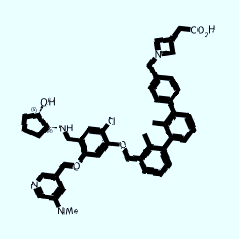 CNc1cncc(COc2cc(OCc3cccc(-c4cccc(-c5ccc(CN6CC(CC(=O)O)C6)cc5)c4C)c3C)c(Cl)cc2CN[C@@H]2CCC[C@@H]2O)c1